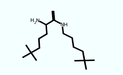 C=C(NCCCCC(C)(C)C)C(N)CCCC(C)(C)C